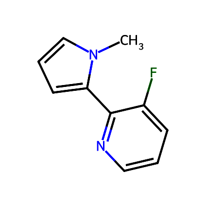 Cn1cccc1-c1ncccc1F